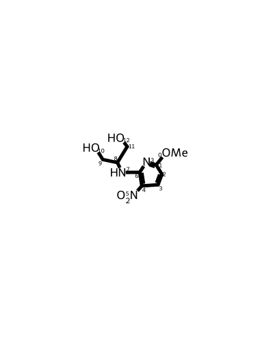 COc1ccc([N+](=O)[O-])c(NC(CO)CO)n1